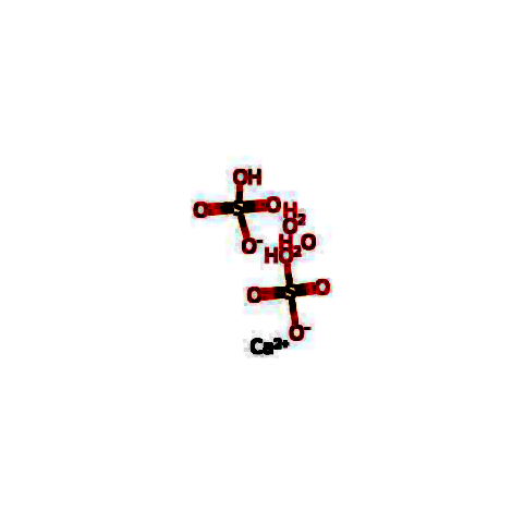 O.O.O=S(=O)([O-])O.O=S(=O)([O-])O.[Ca+2]